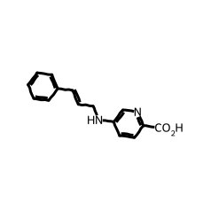 O=C(O)c1ccc(NCC=Cc2ccccc2)cn1